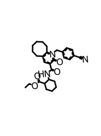 CCOC(=O)C1CCCCC1NC(=O)c1cc2c(n(Cc3ccc(C#N)cc3)c1=O)CCCCCC2